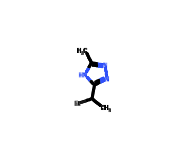 CCC(C)c1nnc(C)[nH]1